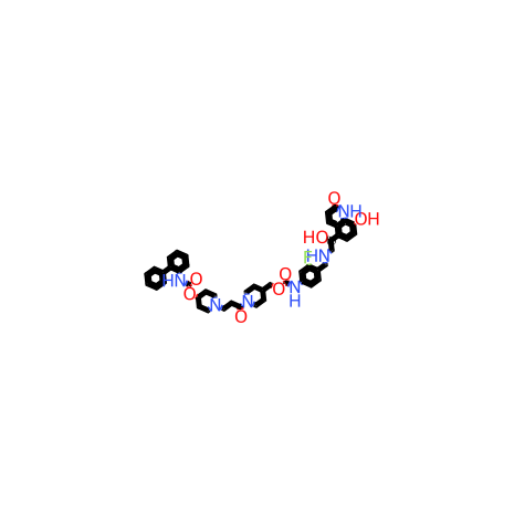 O=C(Nc1ccc(CNC[C@H](O)c2ccc(O)c3[nH]c(=O)ccc23)c(F)c1)OCC1CCN(C(=O)CCN2CCC(OC(=O)Nc3ccccc3-c3ccccc3)CC2)CC1